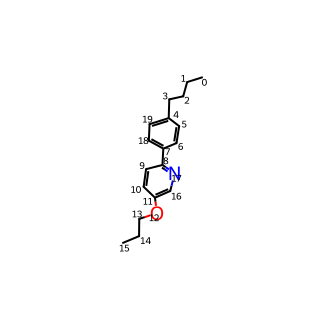 CCCCc1ccc(-c2ccc(OCCC)cn2)cc1